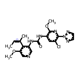 C/C=C(/C)c1c(NC(=O)Nc2cc(Cl)c(-n3nccn3)nc2OC)cncc1OC